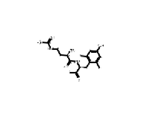 CC(=O)[C@H](Cc1c(C)cc(O)cc1C)NC(=O)[C@H](N)CCNC(=N)N